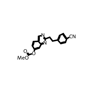 COC(=O)Oc1ccc2cnc(CCc3ccc(C#N)cc3)nc2c1